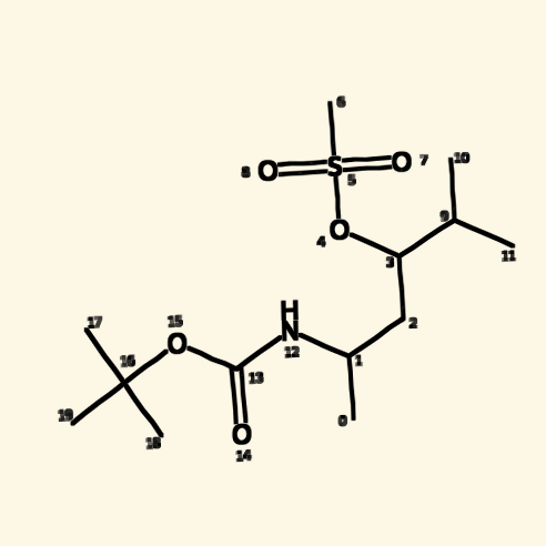 CC(CC(OS(C)(=O)=O)C(C)C)NC(=O)OC(C)(C)C